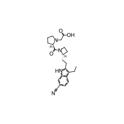 CCc1c(CC[C@H]2CCN2C(=O)[C@H]2CCCN2CC(=O)O)[nH]c2cc(C#N)ccc12